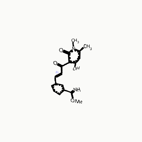 COC(=N)c1cccc(/C=C/C(=O)c2c(O)cc(C)n(C)c2=O)c1